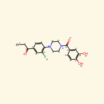 CC(C)CC(=O)c1ccc(N2CCN(C(=O)c3ccc(O)c(O)c3)CC2)c(F)c1